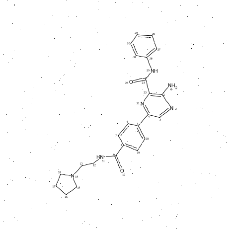 Nc1ncc(-c2ccc(C(=O)NCCN3CCCC3)cc2)nc1C(=O)Nc1ccccc1